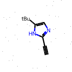 C#Cc1ncc(C(C)(C)C)[nH]1